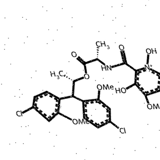 COc1cc(Cl)ccc1C(c1ccc(Cl)cc1OC)[C@H](C)OC(=O)[C@H](C)NC(=O)c1c(O)c(OC)cc[n+]1O